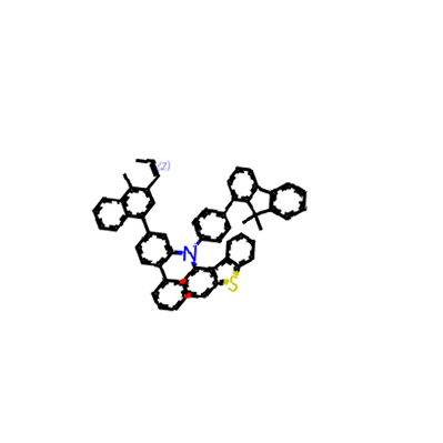 C/C=C\c1cc(-c2ccc(-c3ccccc3)c(N(c3ccc(-c4cccc5c4C(C)(C)c4ccccc4-5)cc3)c3cccc4sc5ccccc5c34)c2)c2ccccc2c1C